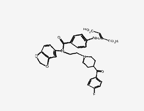 CC(=O)Nc1ccc(C(=O)N(CCN2CCC(C(=O)c3ccc(F)cc3)CC2)c2ccc3c(c2)OCO3)cc1.O=C(O)/C=C/C(=O)O